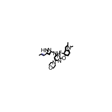 C/C=C/c1cc(Nc2cc(N3CCOCC3)nc(Oc3ccc4c(cc(C)n4C)c3F)n2)n[nH]1